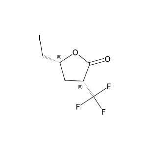 O=C1O[C@@H](CI)C[C@H]1C(F)(F)F